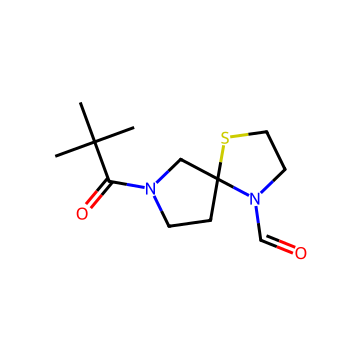 CC(C)(C)C(=O)N1CCC2(C1)SCCN2C=O